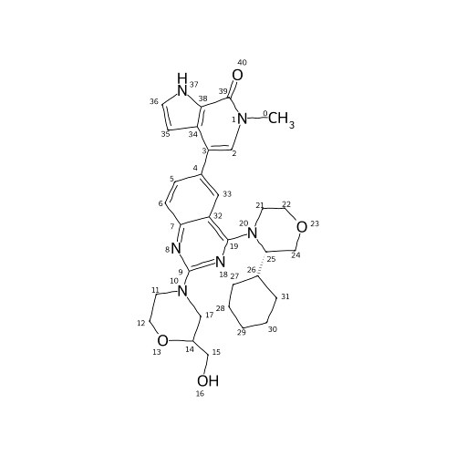 Cn1cc(-c2ccc3nc(N4CCOC(CO)C4)nc(N4CCOC[C@@H]4C4CCCCC4)c3c2)c2cc[nH]c2c1=O